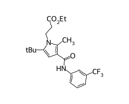 CCOC(=O)CCn1c(C(C)(C)C)cc(C(=O)Nc2cccc(C(F)(F)F)c2)c1C